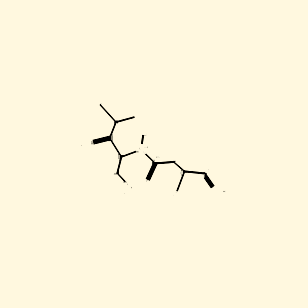 CC(C)C(=O)C(CN)N(C)C(=O)CC(S)C=O